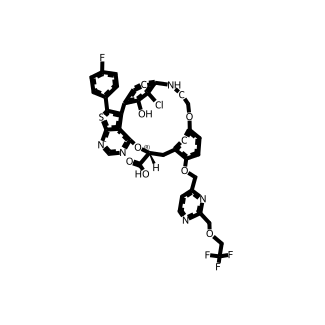 O=C(O)[C@H]1Cc2cc(ccc2OCc2ccnc(COCC(F)(F)F)n2)OCCNc2ccc(c(O)c2Cl)-c2c(-c3ccc(F)cc3)sc3ncnc(c23)O1